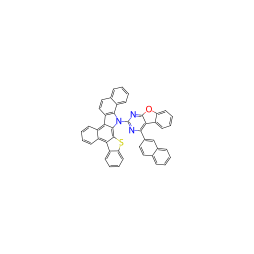 c1ccc2cc(-c3nc(-n4c5c6ccccc6ccc5c5c6ccccc6c6c7ccccc7sc6c54)nc4oc5ccccc5c34)ccc2c1